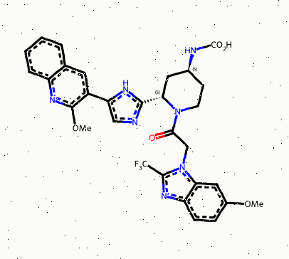 COc1ccc2nc(C(F)(F)F)n(CC(=O)N3CC[C@H](NC(=O)O)C[C@H]3c3ncc(-c4cc5ccccc5nc4OC)[nH]3)c2c1